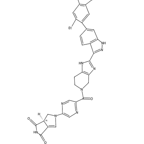 CCc1cc(O)c(F)cc1-c1ccc2c(-c3nc4c([nH]3)CCN(C(=O)c3cnc(N5C=C6C(=O)NC(=O)[C@H]6C5)cn3)C4)n[nH]c2c1